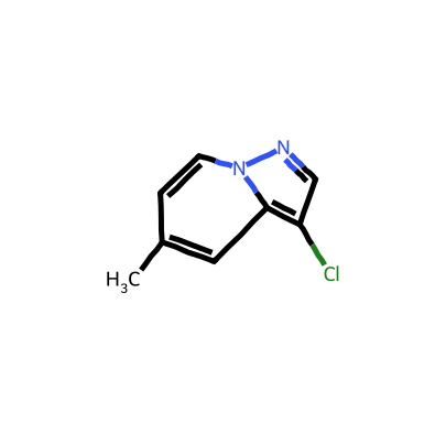 Cc1ccn2ncc(Cl)c2c1